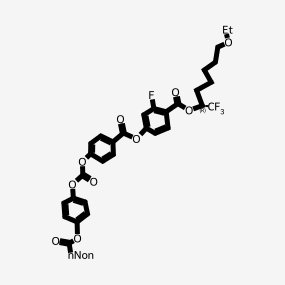 CCCCCCCCCC(=O)Oc1ccc(OC(=O)Oc2ccc(C(=O)Oc3ccc(C(=O)O[C@H](CCCCCOCC)C(F)(F)F)c(F)c3)cc2)cc1